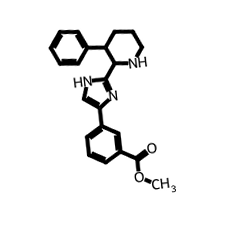 COC(=O)c1cccc(-c2c[nH]c(C3NCCCC3c3ccccc3)n2)c1